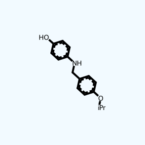 CC(C)Oc1ccc(CNc2ccc(O)cc2)cc1